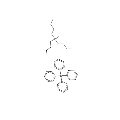 CCCC[P+](C)(CCCC)CCCC.c1ccc([B-](c2ccccc2)(c2ccccc2)c2ccccc2)cc1